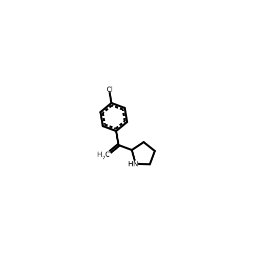 C=C(c1ccc(Cl)cc1)C1CCCN1